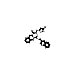 O=C(NC[C@@H]1CC(Br)=NO1)[C@@H]1Cc2ccccc2CN1C(=O)OCc1cnc2ccccc2c1